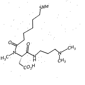 CSCCCCCC(=O)N(C)[C@@H](CC(=O)O)C(=O)NCCCN(C)C